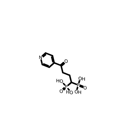 O=C(CCC(P(=O)(O)O)P(=O)(O)O)c1ccncc1